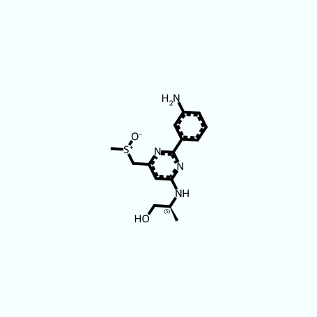 C[C@@H](CO)Nc1cc(C[S+](C)[O-])nc(-c2cccc(N)c2)n1